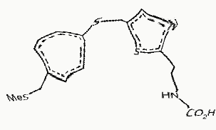 CSc1ccc(Sc2cnc(CNC(=O)O)s2)cc1